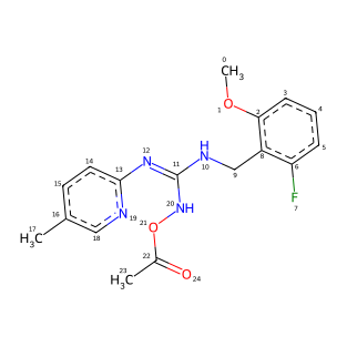 COc1cccc(F)c1CNC(=Nc1ccc(C)cn1)NOC(C)=O